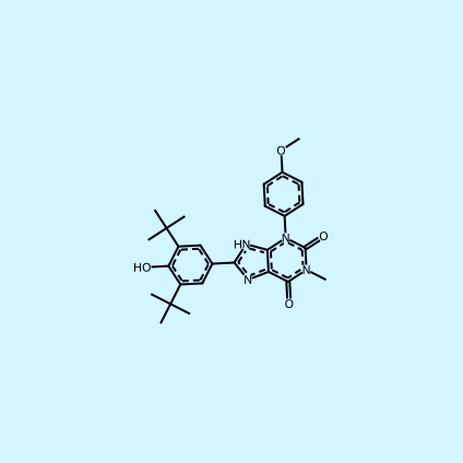 COc1ccc(-n2c(=O)n(C)c(=O)c3nc(-c4cc(C(C)(C)C)c(O)c(C(C)(C)C)c4)[nH]c32)cc1